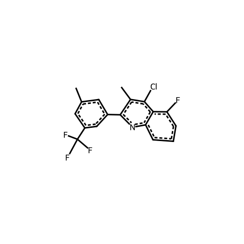 Cc1cc(-c2nc3cccc(F)c3c(Cl)c2C)cc(C(F)(F)F)c1